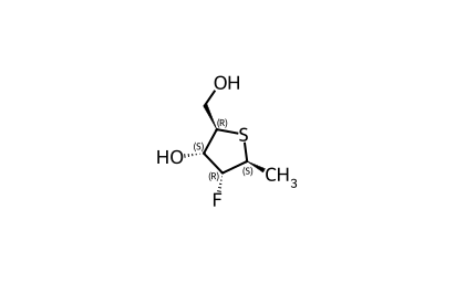 C[C@@H]1S[C@H](CO)[C@@H](O)[C@H]1F